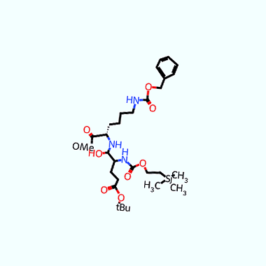 COC(=O)[C@H](CCCCNC(=O)OCc1ccccc1)NC(O)C(CCC(=O)OC(C)(C)C)NC(=O)OCC[Si](C)(C)C